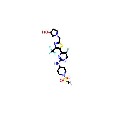 CS(=O)(=O)N1CCC(Nc2ncc(F)c(-c3sc(CN4CC[C@H](O)C4)nc3C(F)(F)F)n2)CC1